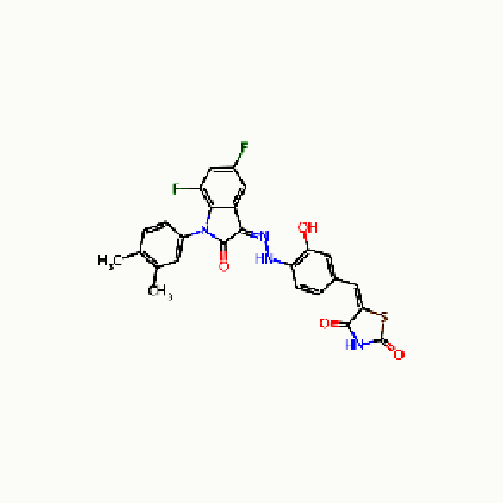 Cc1ccc(N2C(=O)C(=NNc3ccc(C=C4SC(=O)NC4=O)cc3O)c3cc(F)cc(F)c32)cc1C